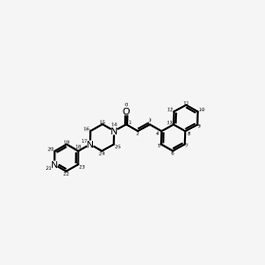 O=C(C=Cc1cccc2ccccc12)N1CCN(c2ccncc2)CC1